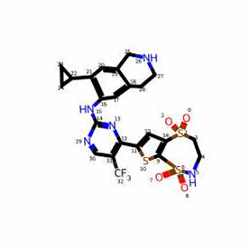 O=S1(=O)CCNS(=O)(=O)c2sc(-c3nc(Nc4cc5c(cc4C4CC4)CNCC5)ncc3C(F)(F)F)cc21